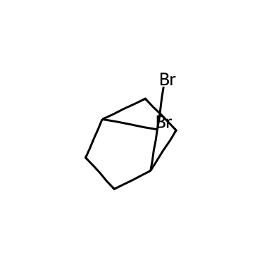 BrC1(Br)C2CCC1CC2